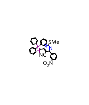 CSc1nc(C[PH](c2ccccc2)(c2ccccc2)c2ccccc2)c(C#N)c(-c2cccc([N+](=O)[O-])c2)n1